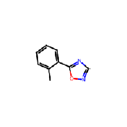 Cc1ccccc1-c1n[c]no1